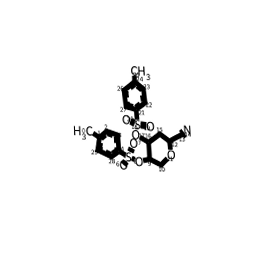 Cc1ccc(S(=O)(=O)OC2COC(C#N)CC2OS(=O)(=O)c2ccc(C)cc2)cc1